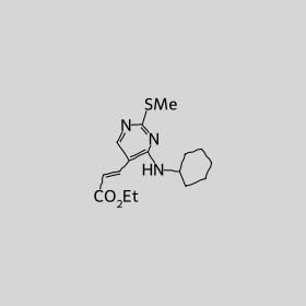 CCOC(=O)C=Cc1cnc(SC)nc1NC1CCCCC1